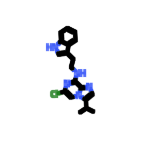 CC(C)c1cnc2c(NCCc3c[nH]c4ccccc34)nc(Cl)cn12